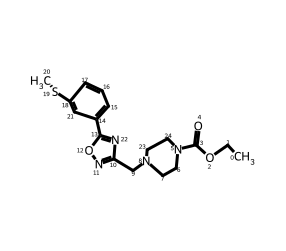 CCOC(=O)N1CCN(Cc2noc(-c3cccc(SC)c3)n2)CC1